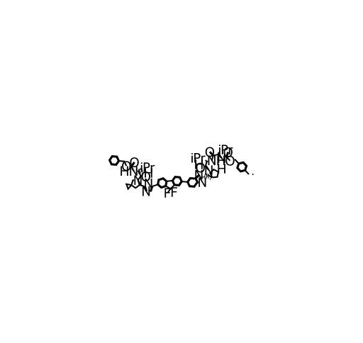 [CH2]c1ccc(COC(=O)NC(C(=O)NC(C(=O)N2C3CCC(C3)[C@@H]2c2nc3ccc(-c4ccc5c(c4)C(F)(F)c4cc(-c6cnc(C7CC8(CC8)CN7C(=O)[C@@H](NC(=O)OCc7ccccc7)C(C)C)[nH]6)ccc4-5)cc3[nH]2)C(C)C)C(C)C)cc1